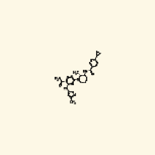 C[C@@H]1[C@H](NC(=O)c2ccc(C3CC3)cc2)CCCN1c1nnc(C(N)=O)c(Nc2cnn(C)c2)n1